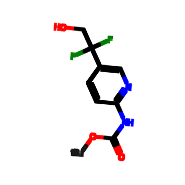 CC(C)(C)OC(=O)Nc1ccc(C(F)(F)CO)cn1